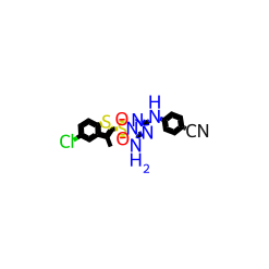 Cc1c(S(=O)(=O)n2nc(Nc3ccc(C#N)cc3)nc2N)sc2ccc(Cl)cc12